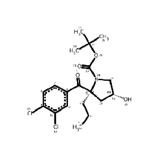 CCC[C@@]1(C(=O)c2ccc(Cl)c(Cl)c2)C[C@@H](O)CN1C(=O)OC(C)(C)C